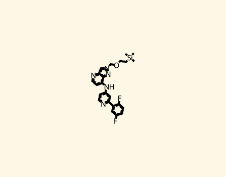 C[Si](C)(C)CCOCn1cc2nccc(Nc3ccnc(-c4cc(F)ccc4F)c3)c2n1